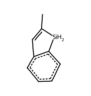 CC1=Cc2ccccc2[SiH2]1